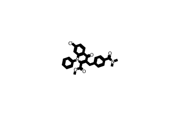 COC(=O)c1c(Cc2ccc(C(=O)N(C)C)cc2)c(=O)c2ccc(Cl)cc2n1-c1ccccc1